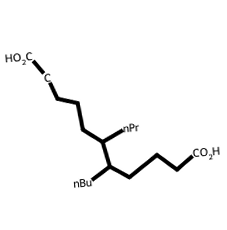 CCCCC(CCCC(=O)O)C(CCC)CCCCC(=O)O